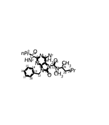 CCCS(=N)(=O)c1nc(N)c2c(n1)n(Cc1ccccc1)c(=O)n2C(=O)N(C)[C@@H](C)CC(C)C